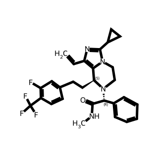 C=Cc1nc(C2CC2)n2c1[C@H](CCc1ccc(C(F)(F)F)c(F)c1)N([C@@H](C(=O)NC)c1ccccc1)CC2